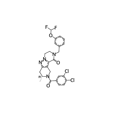 C[C@@H]1Cc2nn3c(c2CN1C(=O)c1ccc(Cl)c(Cl)c1)C(=O)N(Cc1cccc(OC(F)F)c1)CC3